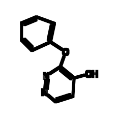 Oc1ccnnc1Oc1ccccc1